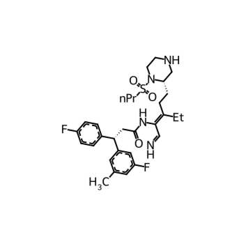 CCCS(=O)(=O)N1CCNC[C@@H]1CC/C(CC)=C(/C=N)NC(=O)C[C@@H](c1ccc(F)cc1)c1cc(C)cc(F)c1